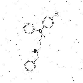 CCc1ccc(B(OCCNCc2ccccc2)c2ccccc2)cc1